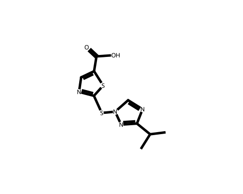 CC(C)c1ncn(Sc2ncc(C(=O)O)s2)n1